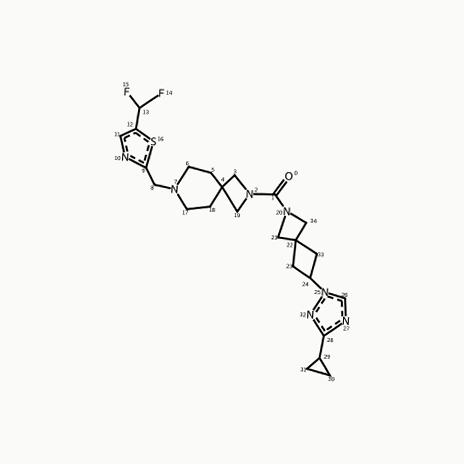 O=C(N1CC2(CCN(Cc3ncc(C(F)F)s3)CC2)C1)N1CC2(CC(n3cnc(C4CC4)n3)C2)C1